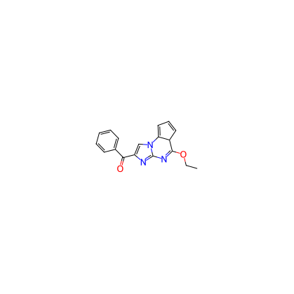 CCOC1=Nc2nc(C(=O)c3ccccc3)cn2C2=CC=CC21